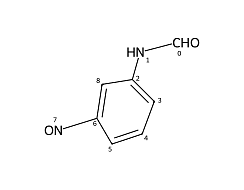 O=CNc1cccc(N=O)c1